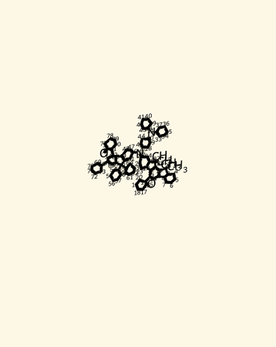 CC1(C)c2ccccc2-c2c1c1c(c3c2oc2ccccc23)-c2ccc(N(c3ccc(N(c4ccccc4)c4ccccc4)cc3)c3ccc4c(c3)C(c3ccccc3)(c3ccccc3)c3cc(-c5ccccc5)c5oc6ccccc6c5c3-4)cc2C1(C)C